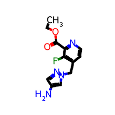 CCOC(=O)c1nccc(Cn2cc(N)cn2)c1F